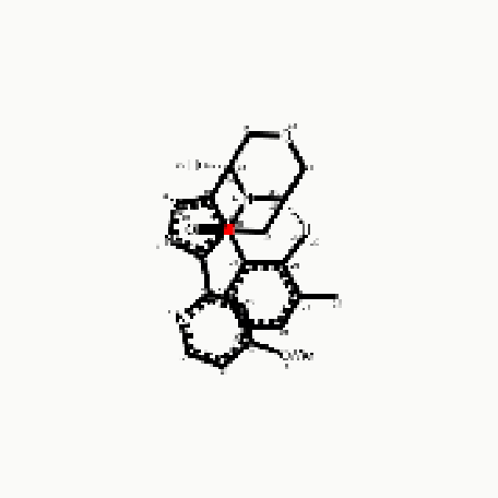 COc1ccnc(-c2nnc3n2C[C@@H]2COC[C@H]3N2C(=O)c2cccc(C)c2C)c1